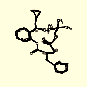 C[C@@H](c1ccccc1OC(=O)[C@H](Cc1ccccc1)NC(=O)OC(C)(C)C)C1CC1